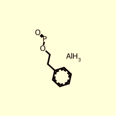 O=POCCc1ccccc1.[AlH3]